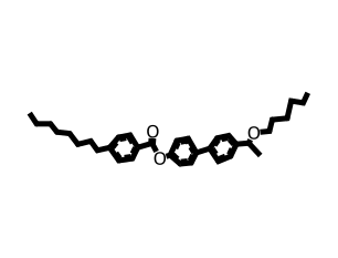 CCCCCCCCc1ccc(C(=O)Oc2ccc(-c3ccc(C(C)OCCCCCC)cc3)cc2)cc1